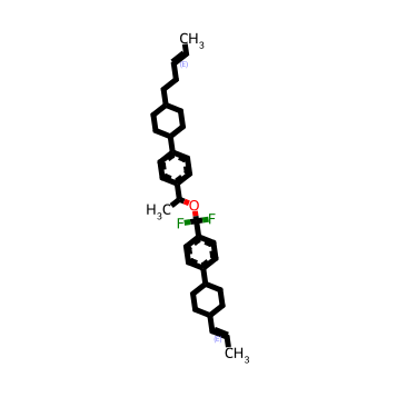 C/C=C/CCC1CCC(c2ccc(C(C)OC(F)(F)c3ccc(C4CCC(/C=C/C)CC4)cc3)cc2)CC1